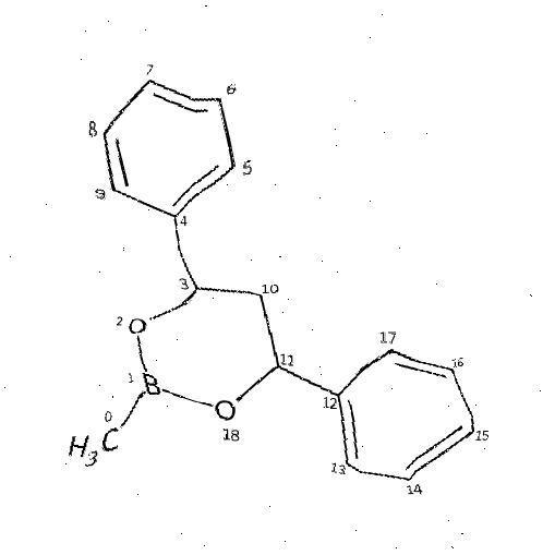 CB1OC(c2ccccc2)CC(c2ccccc2)O1